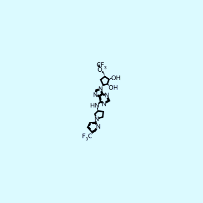 O[C@@H]1[C@@H](COC(F)(F)F)C[C@@H](n2cnc3c(N[C@H]4CCN(c5ccc(C(F)(F)F)cn5)C4)ncnc32)[C@@H]1O